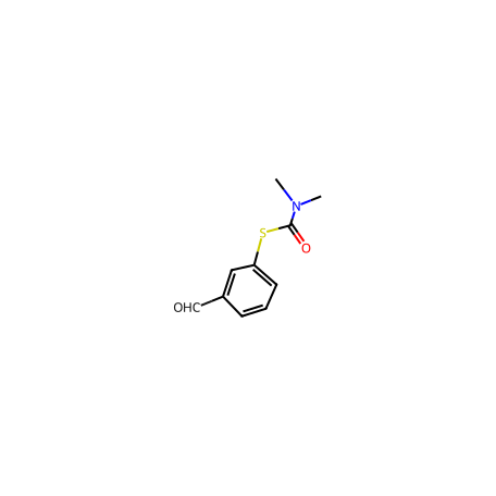 CN(C)C(=O)Sc1cccc(C=O)c1